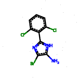 Nc1[nH]c(-c2c(Cl)cccc2Cl)nc1Br